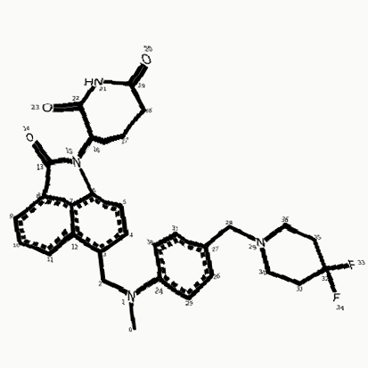 CN(Cc1ccc2c3c(cccc13)C(=O)N2C1CCC(=O)NC1=O)c1ccc(CN2CCC(F)(F)CC2)cc1